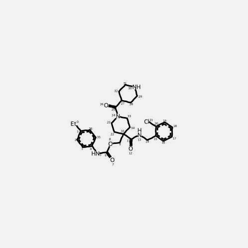 CCc1ccc(NC(=O)OCC2(C(=O)NCc3ccccc3Cl)CCN(C(=O)C3CCNCC3)CC2)cc1